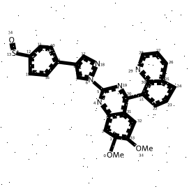 COc1cc2nc(-n3cc(-c4ccc([S+]=O)cc4)cn3)nc(-c3cccc4cccnc34)c2cc1OC